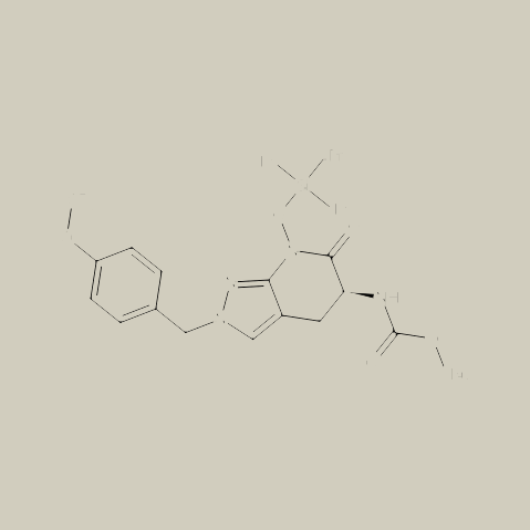 CC(C)[Si](ON1C(=O)[C@@H](NC(=O)OC(C)(C)C)Cc2cn(Cc3ccc(OC(F)(F)F)cc3)nc21)(C(C)C)C(C)C